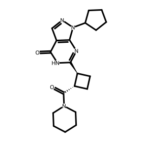 O=C([C@H]1CC[C@@H]1c1nc2c(cnn2C2CCCC2)c(=O)[nH]1)N1CCCCC1